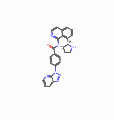 Cc1cccc2ccnc(N(C(=O)c3ccc(-n4nnc5cccnc54)cc3)[C@H]3CCNC3)c12